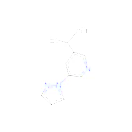 CCCC(CC)c1cncc(-n2cccn2)c1